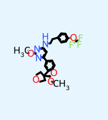 COC(=O)C1(c2cccc(-c3cc(NCCc4ccc(OC(F)(F)F)cc4)nc(OC)n3)c2)CCOCC1